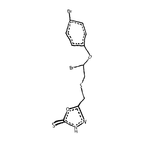 S=c1[nH]nc(CSCC(Br)Oc2ccc(Br)cc2)o1